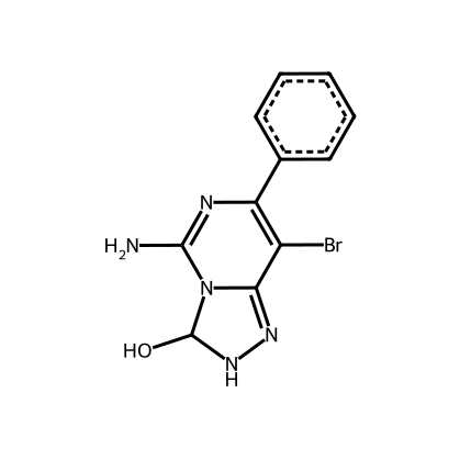 NC1=NC(c2ccccc2)=C(Br)C2=NNC(O)N12